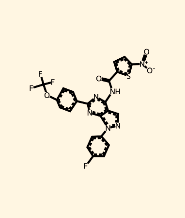 O=C(Nc1nc(-c2ccc(OC(F)(F)F)cc2)nc2c1cnn2-c1ccc(F)cc1)c1ccc([N+](=O)[O-])s1